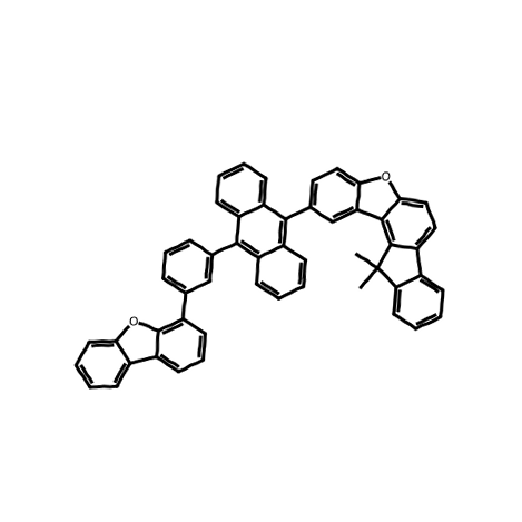 CC1(C)c2ccccc2-c2ccc3oc4ccc(-c5c6ccccc6c(-c6cccc(-c7cccc8c7oc7ccccc78)c6)c6ccccc56)cc4c3c21